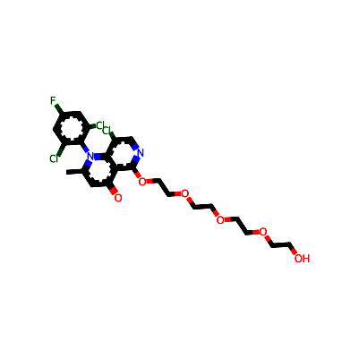 Cc1cc(=O)c2c(OCCOCCOCCOCCO)ncc(Cl)c2n1-c1c(Cl)cc(F)cc1Cl